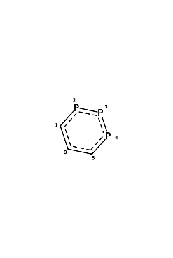 c1cpppc1